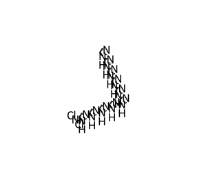 [Cl][Ni][Cl].c1c[nH]cn1.c1c[nH]cn1.c1c[nH]cn1.c1c[nH]cn1.c1c[nH]cn1.c1c[nH]cn1.c1c[nH]cn1.c1c[nH]cn1.c1c[nH]cn1.c1c[nH]cn1